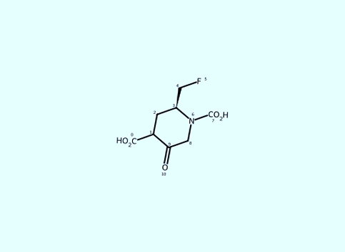 O=C(O)C1C[C@@H](CF)N(C(=O)O)CC1=O